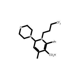 CCCC1=C(C(=O)O)C(C)=CC(N2CCOCC2)N1CCCC(F)(F)F